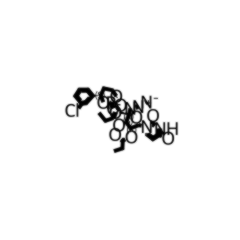 CCC(=O)O[C@H]1C(n2ccc(=O)[nH]c2=O)O[C@@](CO[P@@]2(=O)OCC[C@@H](c3cccc(Cl)c3)O2)(N=[N+]=[N-])[C@H]1OC(=O)CC